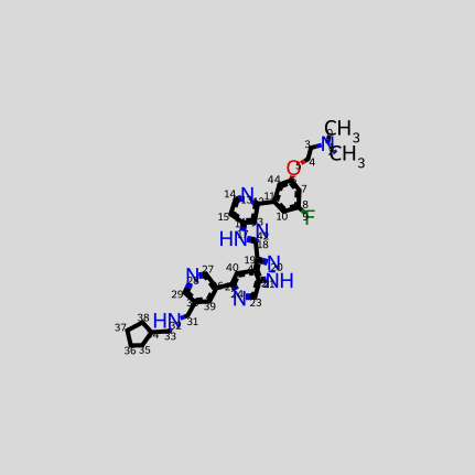 CN(C)CCOc1cc(F)cc(-c2nccc3[nH]c(-c4n[nH]c5cnc(-c6cncc(CNCC7CCCC7)c6)cc45)nc23)c1